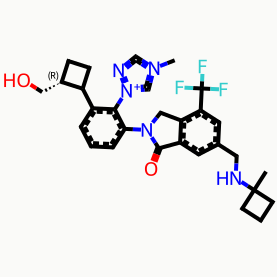 Cn1cn[n+](-c2c(C3CC[C@H]3CO)cccc2N2Cc3c(cc(CNC4(C)CCC4)cc3C(F)(F)F)C2=O)c1